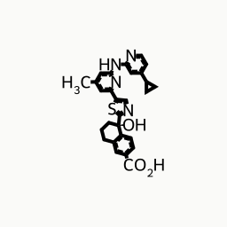 Cc1cc(Nc2cc(C3CC3)ccn2)nc(-c2cnc([C@]3(O)CCCc4cc(C(=O)O)ccc43)s2)c1